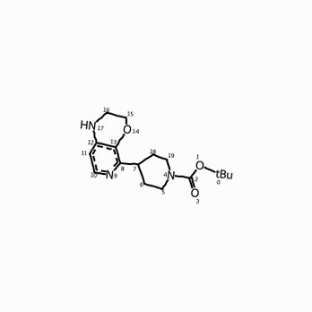 CC(C)(C)OC(=O)N1CCC(c2nccc3c2OCCN3)CC1